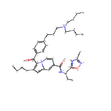 CCCCc1cc2cc(C(=O)NC(CC)c3nc(C)no3)ccn2c1C(=O)c1ccc(CCCN(CCCC)CCCC)cc1